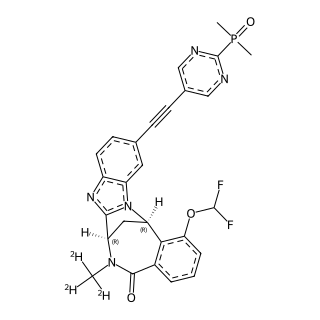 [2H]C([2H])([2H])N1C(=O)c2cccc(OC(F)F)c2[C@H]2C[C@@H]1c1nc3ccc(C#Cc4cnc(P(C)(C)=O)nc4)cc3n12